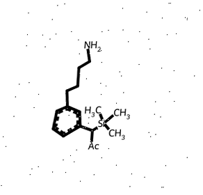 CC(=O)C(c1cccc(CCCCN)c1)[Si](C)(C)C